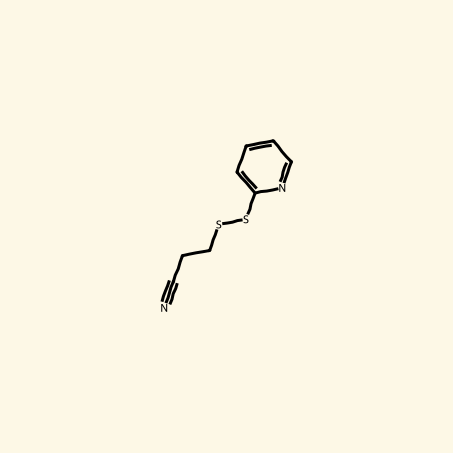 N#CCCSSc1ccccn1